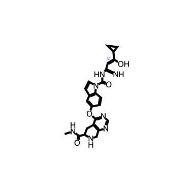 CNC(=O)C1Cc2c(ncnc2Oc2ccc3c(ccn3C(=O)NC(=N)/C=C(\O)C3CC3)c2)CN1